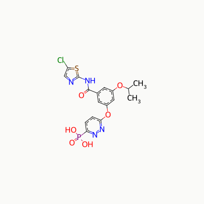 CC(C)Oc1cc(Oc2ccc(P(=O)(O)O)nn2)cc(C(=O)Nc2ncc(Cl)s2)c1